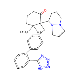 CCCCC1(C(=O)OCC)CCCC(=O)C1(Cc1ccc(-c2ccccc2-c2nnn[nH]2)cc1)C1CCCN2C=CCN12